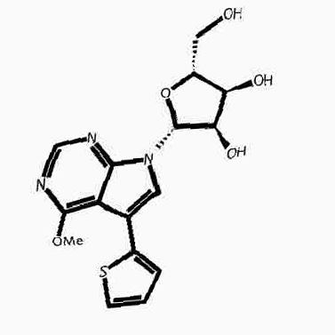 COc1ncnc2c1c(-c1cccs1)cn2[C@@H]1O[C@H](CO)[C@@H](O)[C@H]1O